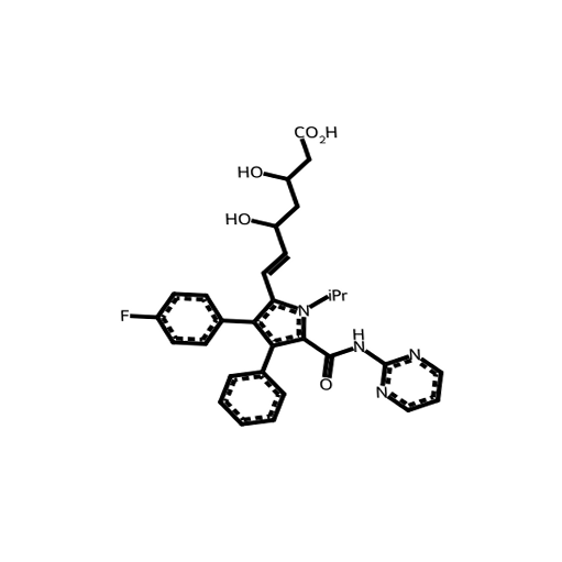 CC(C)n1c(/C=C/C(O)CC(O)CC(=O)O)c(-c2ccc(F)cc2)c(-c2ccccc2)c1C(=O)Nc1ncccn1